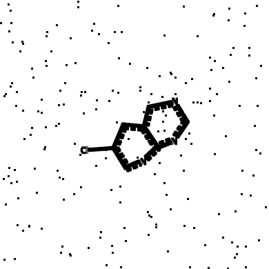 Clc1cnc2ncncc2c1